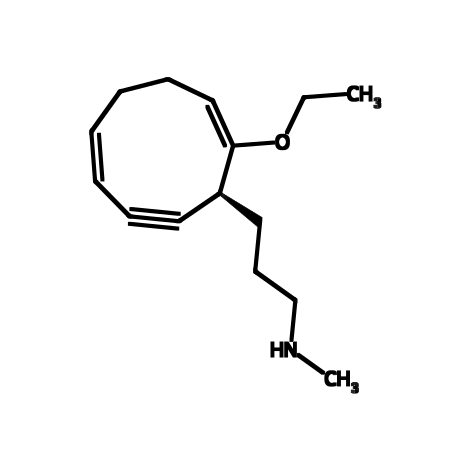 CCO/C1=C/CC/C=C\C#C[C@@H]1CCCNC